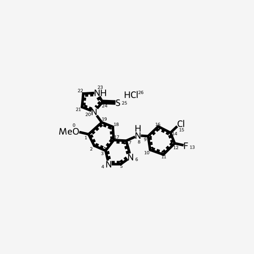 COc1cc2ncnc(Nc3ccc(F)c(Cl)c3)c2cc1-n1cc[nH]c1=S.Cl